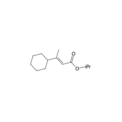 C/C(=C\C(=O)OC(C)C)C1CCCCC1